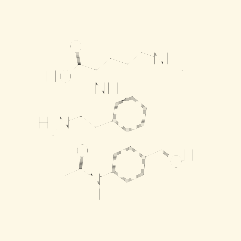 CC(=O)Nc1ccc(C=O)cc1.NCCC[C@H](N)C(=O)O.NCCc1ccccc1.[H+]